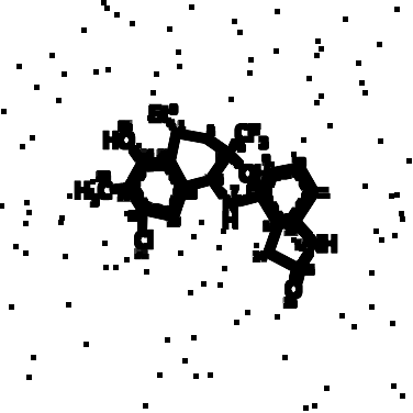 CC[C@@H]1C[C@@](O)(C(F)(F)F)[C@@H](Nc2cccc3c2CC(=O)N3)c2cc(Cl)c(C)c(O)c21